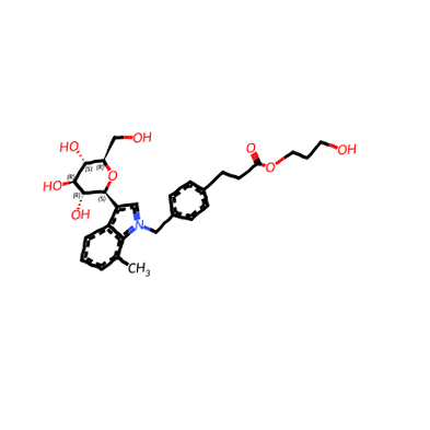 Cc1cccc2c([C@@H]3O[C@H](CO)[C@@H](O)[C@H](O)[C@H]3O)cn(Cc3ccc(CCC(=O)OCCCO)cc3)c12